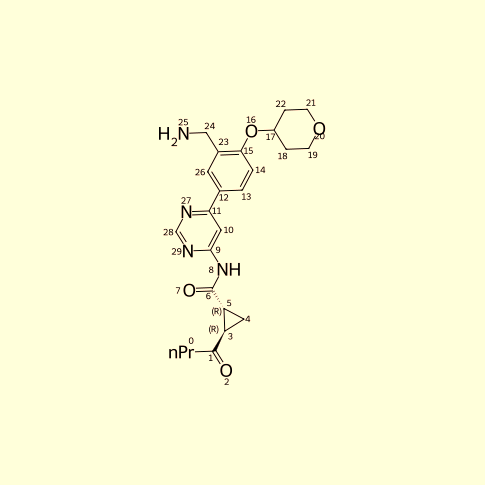 CCCC(=O)[C@@H]1C[C@H]1C(=O)Nc1cc(-c2ccc(OC3CCOCC3)c(CN)c2)ncn1